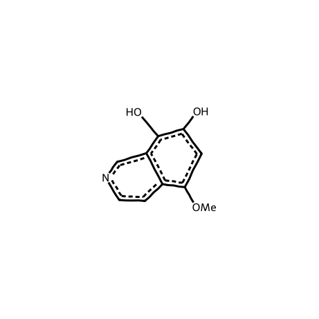 COc1cc(O)c(O)c2cnccc12